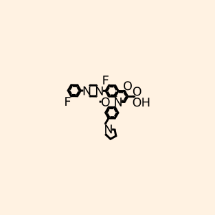 COc1c(N2CCN(c3cccc(F)c3)CC2)c(F)cc2c(=O)c(C(=O)O)cn(-c3ccc(CN4CCCC4)cc3)c12